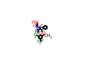 Cc1ccccc1[C@@H]1[C@@H](O[C@H](C)c2cc(C(F)(F)F)cc(C(F)(F)F)c2)OC[C@@H]2CN(C(=O)CO)C[C@H]21